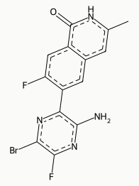 Cc1cc2cc(-c3nc(Br)c(F)nc3N)c(F)cc2c(=O)[nH]1